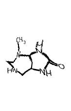 CN1CNC2NC(=O)NC21